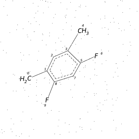 [CH2]c1cc(C)c(F)cc1F